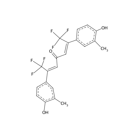 Cc1cc(/C(=C/C(=O)/C=C(/c2ccc(O)c(C)c2)C(F)(F)F)C(F)(F)F)ccc1O